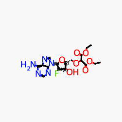 CCOC(=O)C(OC[C@H]1O[C@@H](n2cnc3c(N)ncnc32)[C@H](F)[C@@H]1O)C(=O)OCC